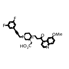 COc1ccc2nccc(C(=O)CC[C@@H]3CCN(CC#Cc4cc(F)cc(F)c4)C[C@H]3CC(=O)O)c2c1